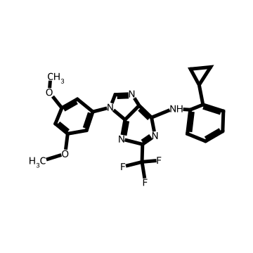 COc1cc(OC)cc(-n2cnc3c(Nc4ccccc4C4CC4)nc(C(F)(F)F)nc32)c1